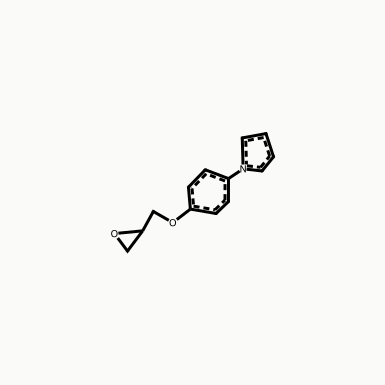 c1ccn(-c2ccc(OCC3CO3)cc2)c1